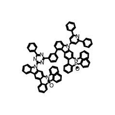 O=P1(c2ccccc2)c2ccccc2-c2cc3c4ccccc4n(-c4nc(-c5ccccc5)nc(-c5cccc(-c6cccc7c6c6cc8c(cc6n7-c6cc(-c7ccccc7)nc(-c7ccccc7)c6)N(c6ccccc6)P(=O)(c6ccccc6)c6ccccc6-8)c5)n4)c3cc2N1c1ccccc1